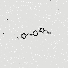 COc1ccc(COc2ccc(-n3ccc(CO)n3)nc2)cc1